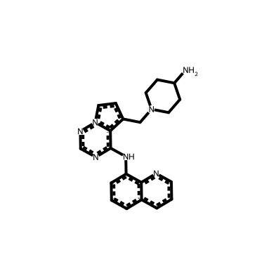 NC1CCN(Cc2ccn3ncnc(Nc4cccc5cccnc45)c23)CC1